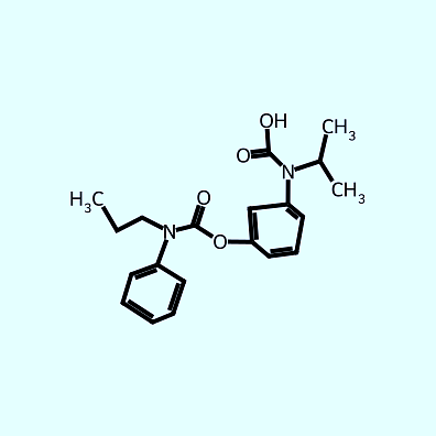 CCCN(C(=O)Oc1cccc(N(C(=O)O)C(C)C)c1)c1ccccc1